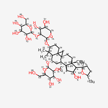 CC(C)(C)C1CC[C@](C)(C2[C@@H](O)C[C@@]3(C)C4C[C@H](OC5OC(CO)C(O)C(O)C5O)C5C(C)(C)[C@@H](OC6OCC(O)C(O)C6OC6OC(CO)C(O)C(O)C6O)CCC56CC46CC[C@]23C)O1